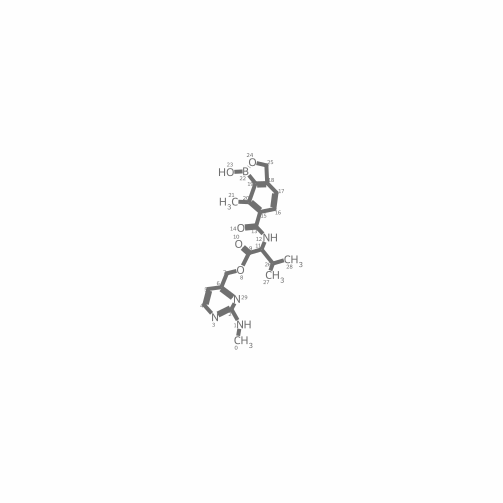 CNc1nccc(COC(=O)C(NC(=O)c2ccc3c(c2C)B(O)OC3)C(C)C)n1